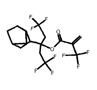 C=C(C(=O)OC(CC(F)(F)F)(CC(F)(F)F)C1CC2CCC1C2)C(F)(F)F